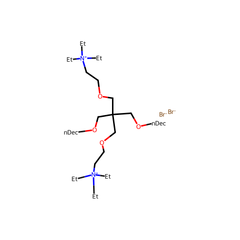 CCCCCCCCCCOCC(COCCCCCCCCCC)(COCC[N+](CC)(CC)CC)COCC[N+](CC)(CC)CC.[Br-].[Br-]